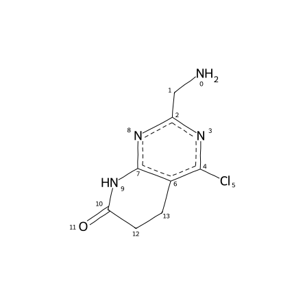 NCc1nc(Cl)c2c(n1)NC(=O)CC2